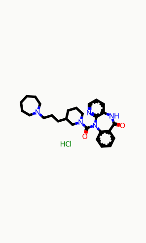 Cl.O=C1Nc2cccnc2N(C(=O)N2CCCC(CCCN3CCCCCC3)C2)c2ccccc21